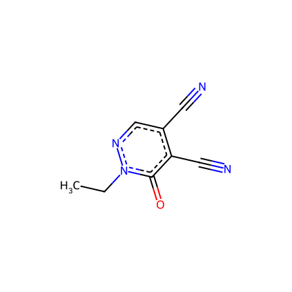 CCn1ncc(C#N)c(C#N)c1=O